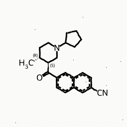 C[C@@H]1CCN(C2CCCC2)C[C@H]1C(=O)c1ccc2cc(C#N)ccc2c1